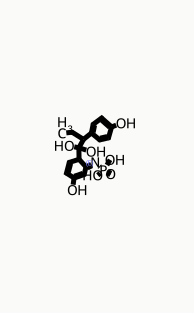 CCC(c1ccc(O)cc1)C(O)(O)C1C=CC(O)=C/C1=N\P(=O)(O)O